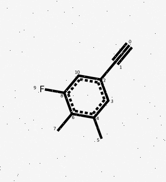 C#Cc1cc(C)c(C)c(F)c1